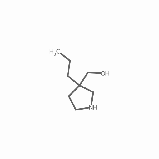 CCCC1(CO)CCNC1